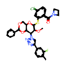 COC1C(Sc2cc(Cl)ccc2C(=O)N2CCC2)OC2COC(c3ccccc3)OC2C1n1cc(-c2ccc(C)c(F)c2)nn1